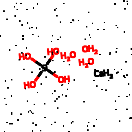 O.O.O.O[Si](O)(O)O.[CaH2]